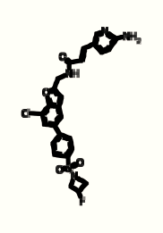 Nc1ccc(/C=C/C(=O)NCc2cc3cc(-c4ccc(S(=O)(=O)N5CC(F)C5)cc4)cc(Cl)c3o2)cn1